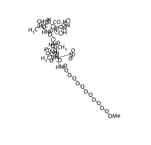 COCCOCCOCCOCCOCCOCCOCCOCCOCCOCCOCCOCC(=O)NCCCC[C@@H](NC(=O)CCCCCN1C(=O)C=CC1=O)C(=O)N[C@H](C)C(=O)N[C@H](C(=O)N[C@@H](C)C(=O)Nc1ccc(COC(=O)NCCOC23CC4(C)CC(C)(CC(Cn5ncc(-c6ccc(N7CCc8cccc(C(O)Nc9nc%10ccccc%10s9)c8C7)cc6C(=O)O)c5C)(C4)C2)C3)cc1)C(C)C